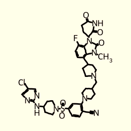 Cn1c(=O)n(C2CCC(=O)NC2=O)c2c(F)ccc(C3CCN(CC4CCN(c5cc(S(=O)(=O)N6CCC(Nc7ncc(Cl)cn7)CC6)ccc5C#N)CC4)CC3)c21